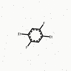 CCc1cc(F)c(CC)cc1F